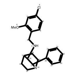 COc1cc(Cl)ccc1CNC1C2CCN(CC2)C1c1ccccc1